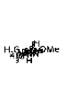 C=CCNC(=O)C1(C)COC(c2nc(-c3ccc(F)cc3)c(-c3ccnc(Nc4cccc(OC)c4)n3)[nH]2)OC1